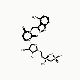 Cc1cccc2onc(Cn3c(=O)ccn([C@@H]4O[C@H](COP(=O)(O)OP(=O)(O)O)[C@H](O)C4O)c3=O)c12